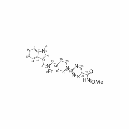 CCN(Cc1cn(C)c2ccccc12)CC1CCN(c2ncc(C(=O)NOC)cn2)CC1